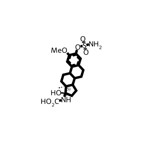 COc1cc2c(cc1OS(N)(=O)=O)CCC1C2CC[C@@]2(C)C1CC[C@]2(O)NC(=O)O